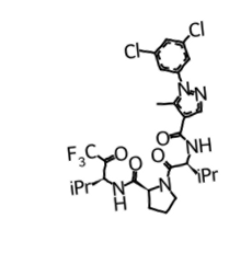 Cc1c(C(=O)N[C@H](C(=O)N2CCC[C@H]2C(=O)N[C@H](C(=O)C(F)(F)F)C(C)C)C(C)C)cnn1-c1cc(Cl)cc(Cl)c1